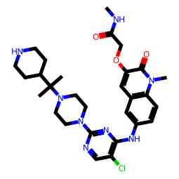 CNC(=O)COc1cc2cc(Nc3nc(N4CCN(C(C)(C)C5CCNCC5)CC4)ncc3Cl)ccc2n(C)c1=O